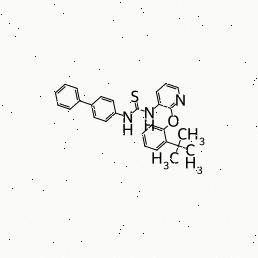 CC(C)(C)c1ccccc1Oc1ncccc1NC(=S)Nc1ccc(-c2ccccc2)cc1